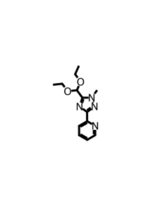 CCOC(OCC)c1nc(-c2ccccn2)nn1C